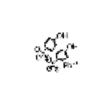 O=S(=O)([O-])c1ccc(O)cc1.O=S(=O)([O-])c1ccc(O)cc1.[Pb+2]